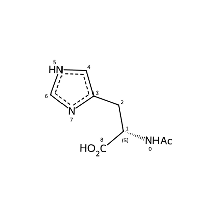 CC(=O)N[C@@H](Cc1c[nH]cn1)C(=O)O